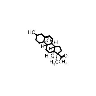 CO[C@]1(C(C)=O)CC[C@H]2[C@@H]3CC=C4CC(O)CC[C@]4(C)[C@H]3CC[C@@]21C